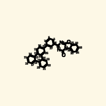 O=c1nc(-c2cccc(-c3ccc4c5ccccc5c5ccccc5c4c3)c2)nc2oc3ccccc3n12